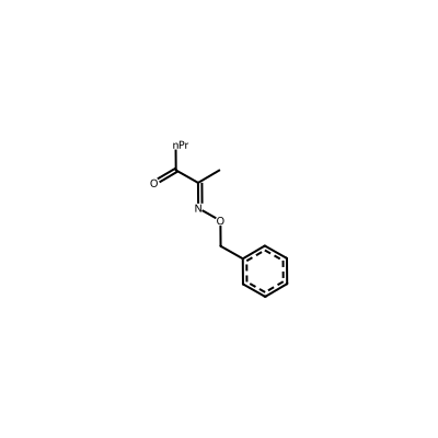 CCCC(=O)/C(C)=N/OCc1ccccc1